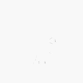 CCCCCCCCOc1cccc(CCNCCC(=O)OC(=O)C(F)(F)F)c1